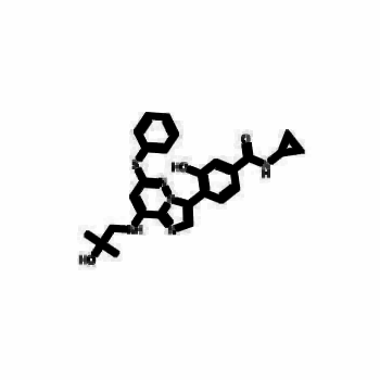 CC(C)(O)CNc1cc(Sc2ccccc2)nn2c(-c3ccc(C(=O)NC4CC4)cc3O)cnc12